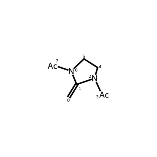 C=C1N(C(C)=O)CCN1C(C)=O